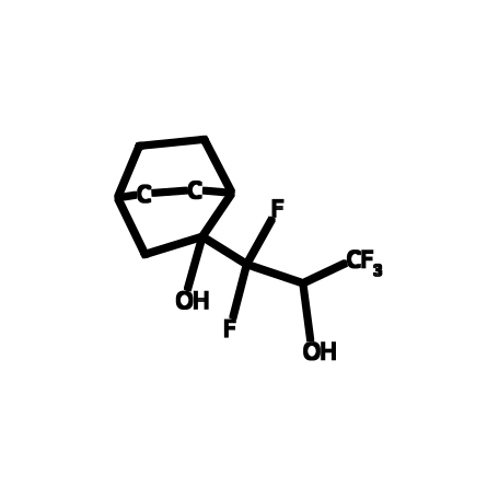 OC(C(F)(F)F)C(F)(F)C1(O)CC2CCC1CC2